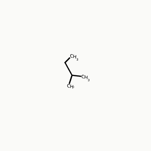 [CH]C(C)CC